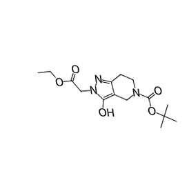 CCOC(=O)Cn1nc2c(c1O)CN(C(=O)OC(C)(C)C)CC2